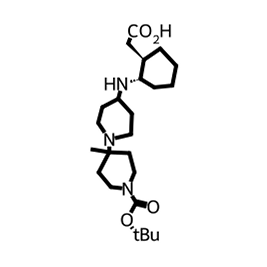 CC(C)(C)OC(=O)N1CCC(C)(N2CCC(N[C@H]3CCCC[C@@H]3CC(=O)O)CC2)CC1